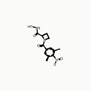 Cc1cc(C(=O)N2CCC2C(=O)NO)cc(C)c1[N+](=O)[O-]